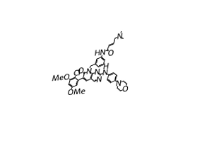 COc1cc(OC)c(Cl)c(-c2cc3cnc(Nc4ccc(N5CCOCC5)cc4)nc3n(Cc3cccc(NC(=O)/C=C/CN(C)C)c3)c2=O)c1